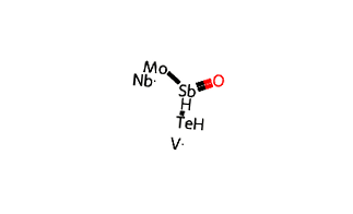 [Nb].[O]=[SbH]([Mo])[TeH].[V]